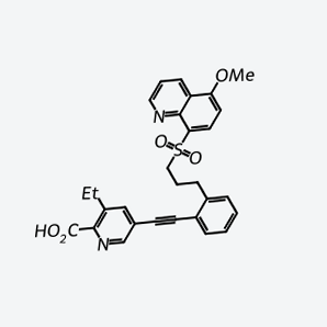 CCc1cc(C#Cc2ccccc2CCCS(=O)(=O)c2ccc(OC)c3cccnc23)cnc1C(=O)O